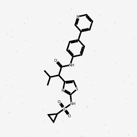 CC(C)C(C(=O)Nc1ccc(-c2cccnc2)cc1)c1csc(NS(=O)(=O)C2CC2)n1